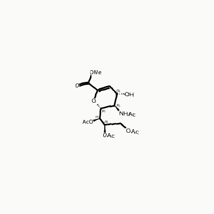 COC(=O)C1=C[C@H](O)[C@@H](NC(C)=O)[C@H]([C@H](OC(C)=O)[C@@H](COC(C)=O)OC(C)=O)O1